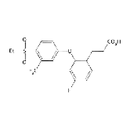 CCS(=O)(=O)c1ccc(Oc2cc(F)ccc2CCC(=O)O)cc1C(F)(F)F